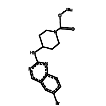 CC(C)(C)OC(=O)N1CCC(Nc2ncc3cc(Br)ccc3n2)CC1